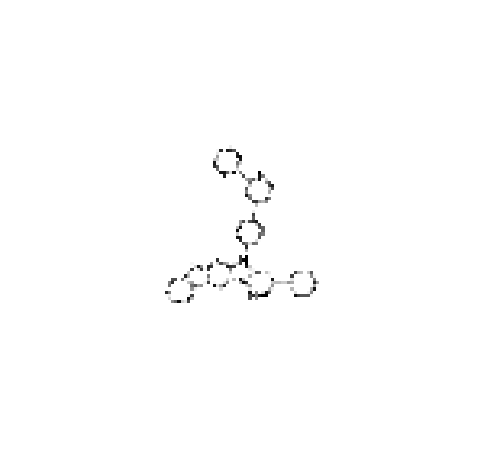 c1ccc(-c2cnc3c4cc5c(cc4n(-c4ccc(-c6ccnc(-c7ccccc7)c6)cc4)c3c2)sc2ccccc25)cc1